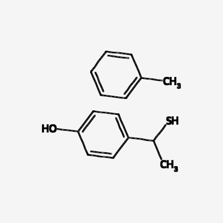 CC(S)c1ccc(O)cc1.Cc1ccccc1